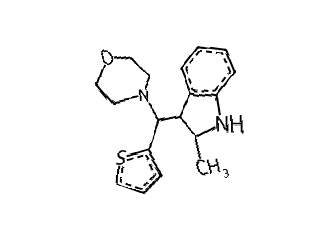 CC1Nc2ccccc2C1C(c1cccs1)N1CCOCC1